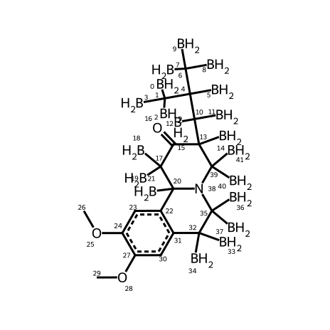 BC(B)(B)C(B)(C(B)(B)B)C(B)(B)C1(B)C(=O)C(B)(B)C2(B)c3cc(OC)c(OC)cc3C(B)(B)C(B)(B)N2C1(B)B